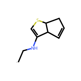 [CH2]CNC1=CSC2CC=CC12